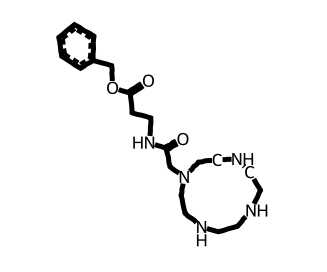 O=C(CN1CCNCCNCCNCC1)NCCC(=O)OCc1ccccc1